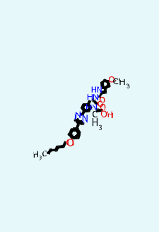 CCCCCCCOc1ccc(-c2cnc(-c3ccc(C[C@H](NC(=O)c4cc5cc(OC)ccc5[nH]4)C(=O)N[C@H](C)C(=O)O)cc3)nc2)cc1